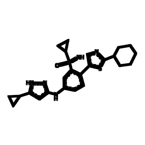 N=S(=O)(c1cc(Nc2cc(C3CC3)[nH]n2)ccc1-c1cnc(C2CCCCC2)s1)C1CC1